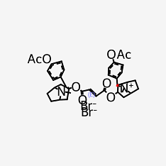 CC(=O)Oc1ccc(C[N+]2(C)C3CCC2CC(OC(=O)/C=C/C(=O)OC2CC4CCC(C2)[N+]4(C)Cc2ccc(OC(C)=O)cc2)C3)cc1.[Br-].[Br-]